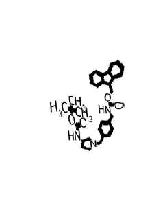 CC(C)(C)OC(=O)N[C@H]1CCN(Cc2ccc(CNC(=O)OCC3c4ccccc4-c4ccccc43)cc2)C1